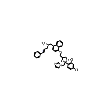 CN(C/C=C/c1ccccc1)Cc1ccc(OCC2COC(Cn3ccnc3)(c3ccc(Cl)cc3Cl)O2)c2ccccc12